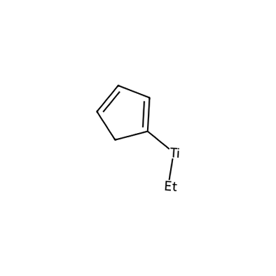 C[CH2][Ti][C]1=CC=CC1